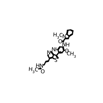 COc1cc(-c2csc3c(C=CCNC(C)=O)cnc(N)c23)ccc1NC(=O)c1cc2ccccc2n1C